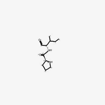 CCC(C)[C@@H]([C]=O)NC(=O)[C@@H]1CCCN1